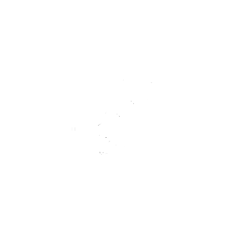 C=CC1=C(C)/C(=C/C2=NC(=C/[C@H](C(C)=O)C(=O)OC)/[C@@H](CCC(=O)O)[C@@H]2C)NC1=O